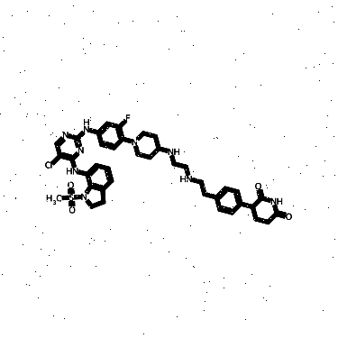 CS(=O)(=O)N1CCc2cccc(Nc3nc(Nc4ccc(N5CCC(NCCNCCc6ccc(C7CCC(=O)NC7=O)cc6)CC5)c(F)c4)ncc3Cl)c21